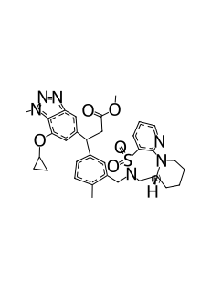 COC(=O)CC(c1ccc(C)c(CN2C[C@H]3CCCCN3c3ncccc3S2(=O)=O)c1)c1cc(OC2CC2)c2c(c1)nnn2C